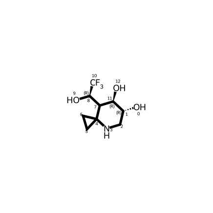 O[C@@H]1CNC2(CC2)C([C@@H](O)C(F)(F)F)[C@H]1O